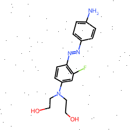 Nc1ccc(N=Nc2ccc(N(CCO)CCO)cc2F)cc1